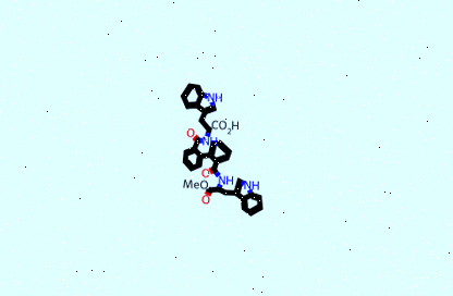 COC(=O)C(Cc1c[nH]c2ccccc12)NC(=O)c1ccccc1-c1ccccc1C(=O)N[C@@H](Cc1c[nH]c2ccccc12)C(=O)O